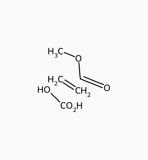 C=C.COC=O.O=C(O)O